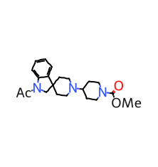 COC(=O)N1CCC(N2CCC3(CC2)CN(C(C)=O)c2ccccc23)CC1